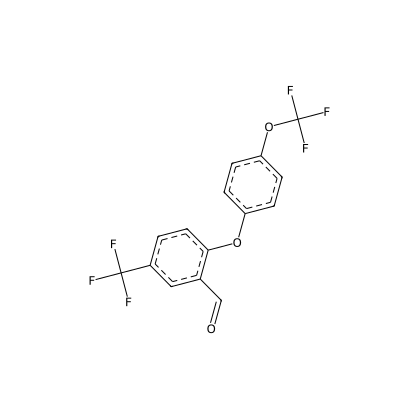 O=Cc1cc(C(F)(F)F)ccc1Oc1ccc(OC(F)(F)F)cc1